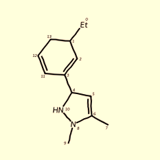 CCC1C=C(C2C=C(C)N(C)N2)C=CC1